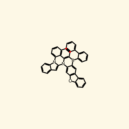 c1ccc(-c2ccccc2B2c3cc4c(cc3-n3c5c2ccc2cccc(c25)n2c5ccccc5cc32)oc2ccccc24)cc1